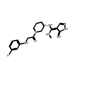 CN/C(N[C@H]1CCCN(C(=O)CNc2cccc(Cl)c2)C1)=C1/C=NNC1=N